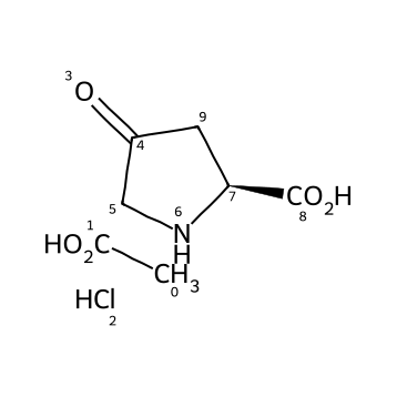 CC(=O)O.Cl.O=C1CN[C@H](C(=O)O)C1